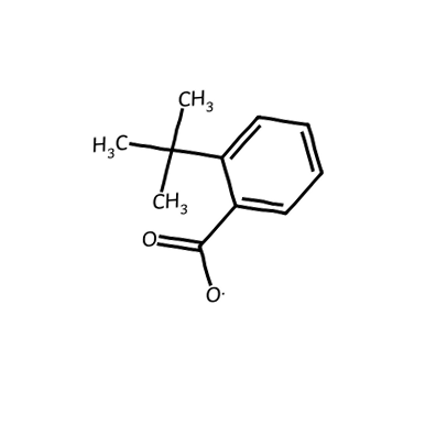 CC(C)(C)c1ccccc1C([O])=O